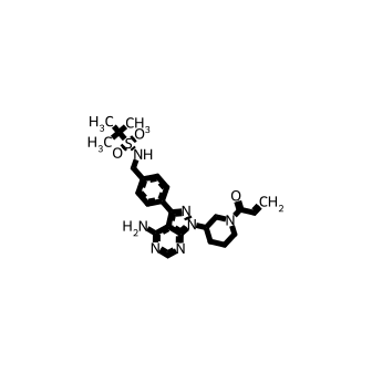 C=CC(=O)N1CCCC(n2nc(-c3ccc(CNS(=O)(=O)C(C)(C)C)cc3)c3c(N)ncnc32)C1